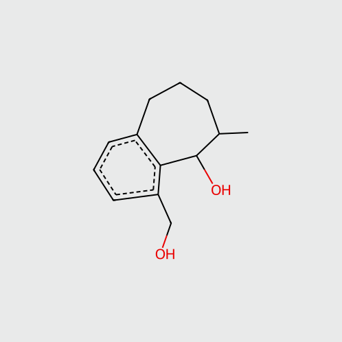 CC1CCCc2cccc(CO)c2C1O